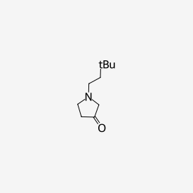 CC(C)(C)CCN1CCC(=O)C1